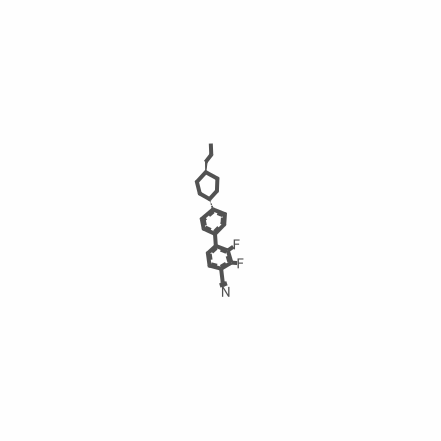 CCC[C@H]1CC[C@H](c2ccc(-c3ccc(C#N)c(F)c3F)cc2)CC1